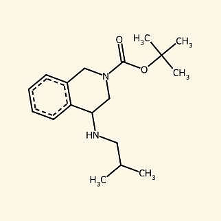 CC(C)CNC1CN(C(=O)OC(C)(C)C)Cc2ccccc21